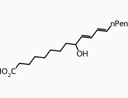 CCCCCC=CC=CC(O)CCCCCCCC(=O)O